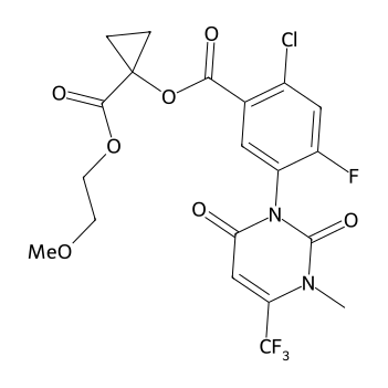 COCCOC(=O)C1(OC(=O)c2cc(-n3c(=O)cc(C(F)(F)F)n(C)c3=O)c(F)cc2Cl)CC1